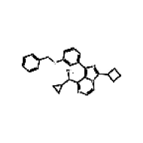 NC(c1nccn2c(C3CCC3)nc(-c3cccc(OCc4ccccc4)c3)c12)C1CC1